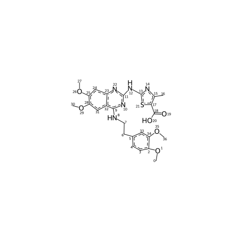 COc1ccc(CCNc2nc(Nc3nc(C)c(C(=O)O)s3)nc3cc(OC)c(OC)cc23)cc1OC